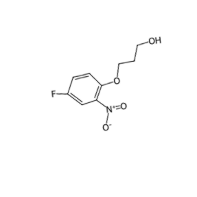 O=[N+]([O-])c1cc(F)ccc1OCCCO